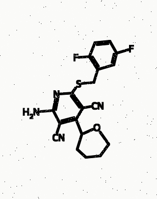 N#Cc1c(N)nc(SCc2cc(F)ccc2F)c(C#N)c1C1CCCCO1